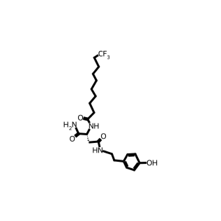 NC(=O)[C@@H](CC(=O)NCCc1ccc(O)cc1)NC(=O)CCCCCCCCC(F)(F)F